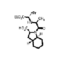 CCC[C@H](N[C@@H](C)C(=O)N1[C@H](C(=O)O)C[C@H]2CCCC[C@@H]21)C(=O)OCC